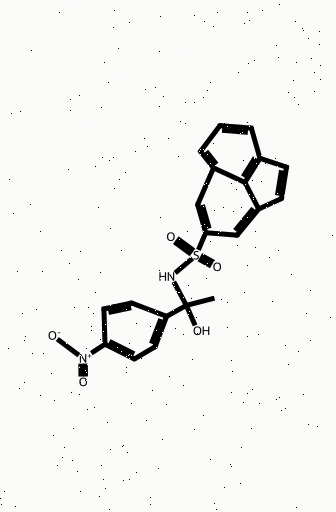 CC(O)(NS(=O)(=O)c1cc2c3c(cccc3c1)C=C2)c1ccc([N+](=O)[O-])cc1